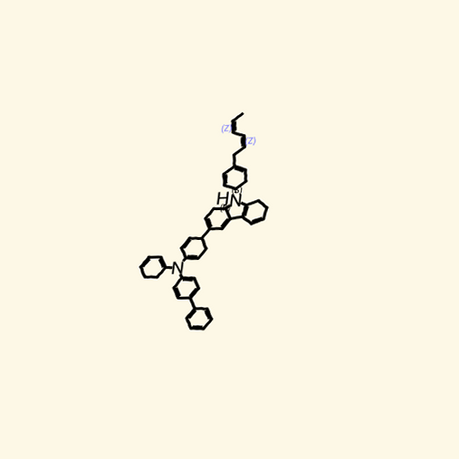 C/C=C\C=C/CC1=CC[C@H](N2C3=C(C=CCC3)C3=CC(C4C=CC(N(C5=CC=CCC5)c5ccc(-c6ccccc6)cc5)=CC4)=CC[C@H]32)C=C1